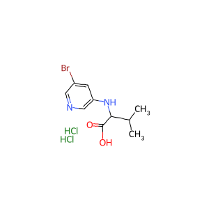 CC(C)C(Nc1cncc(Br)c1)C(=O)O.Cl.Cl